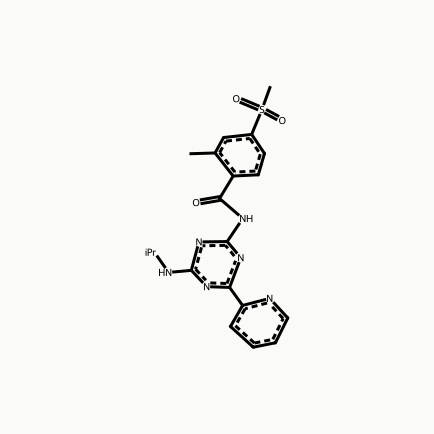 Cc1cc(S(C)(=O)=O)ccc1C(=O)Nc1nc(NC(C)C)nc(-c2ccccn2)n1